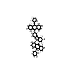 c1ccc(-c2c3ccccc3c(-c3cccc4c3sc3ccc(-c5c6ccccc6c(-c6ccsc6)c6ccccc56)cc34)c3ccccc23)cc1